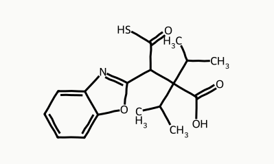 CC(C)C(C(=O)O)(C(C)C)C(C(=O)S)c1nc2ccccc2o1